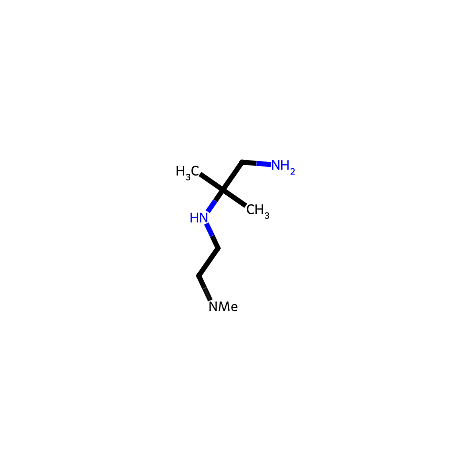 CNCCNC(C)(C)CN